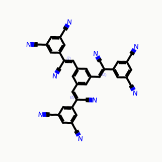 N#C/C(=C\c1cc(/C=C(\C#N)c2cc(C#N)cc(C#N)c2)cc(/C=C(\C#N)c2cc(C#N)cc(C#N)c2)c1)c1cc(C#N)cc(C#N)c1